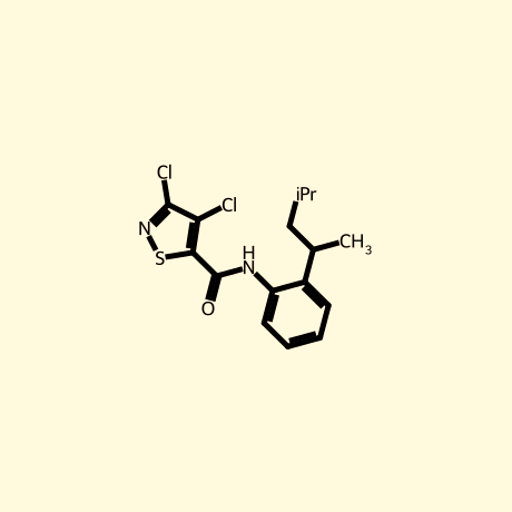 CC(C)CC(C)c1ccccc1NC(=O)c1snc(Cl)c1Cl